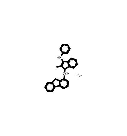 CC1=C(Pc2ccccc2)c2ccccc2[CH]1[Zr+2][c]1cccc2c1Cc1ccccc1-2.[F-].[F-]